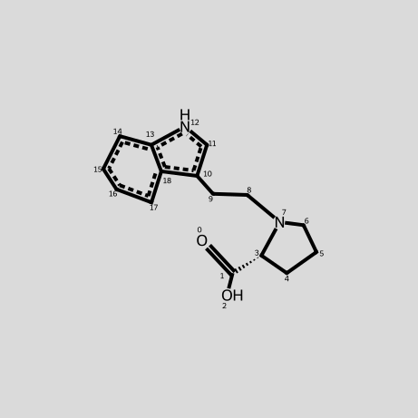 O=C(O)[C@H]1CCCN1CCc1c[nH]c2ccccc12